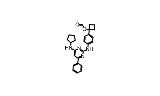 O=COC1(c2ccc(Nc3nc(NC4CCCC4)cc(-c4ccccc4)n3)cc2)CCC1